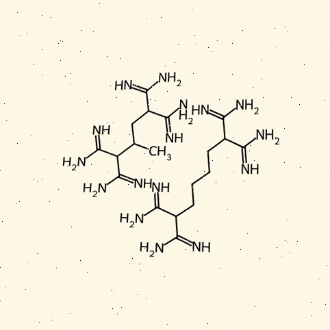 CC(CC(C(=N)N)C(=N)N)C(C(=N)N)C(=N)N.N=C(N)C(CCCCC(C(=N)N)C(=N)N)C(=N)N